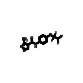 Cc1oncc1C(=O)Nc1ccc(OC(F)(F)C(F)F)cc1